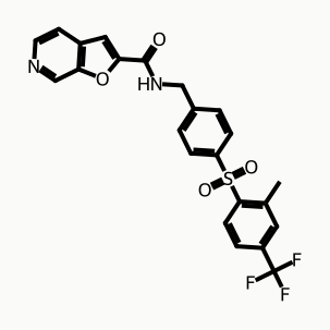 Cc1cc(C(F)(F)F)ccc1S(=O)(=O)c1ccc(CNC(=O)c2cc3ccncc3o2)cc1